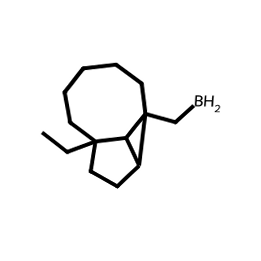 BCC12CCCCCC3(CC)CCC1C32